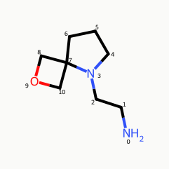 NCCN1CCCC12COC2